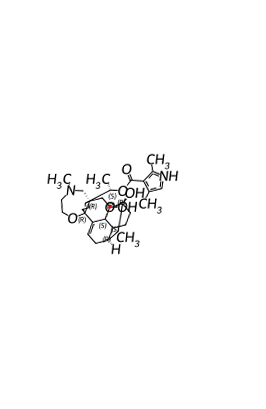 Cc1c[nH]c(C)c1C(=O)O[C@@H](C)C1=CC[C@@]23OCCN(C)C[C@@]12C[C@@H](O)[C@]12O[C@]4(O)CC[C@@]1(C)[C@H](CC=C32)C4